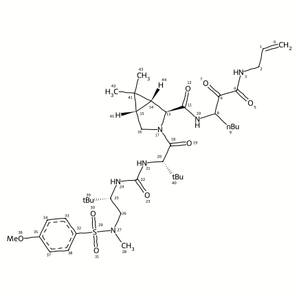 C=CCNC(=O)C(=O)C(CCCC)NC(=O)[C@@H]1[C@@H]2[C@H](CN1C(=O)[C@@H](NC(=O)N[C@H](CN(C)S(=O)(=O)c1ccc(OC)cc1)C(C)(C)C)C(C)(C)C)C2(C)C